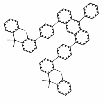 CC1(C)c2ccccc2Sc2c(-c3ccc(-c4cccc5c(-c6ccccc6)c6cccc(-c7ccc(-c8cccc9c8Sc8ccccc8C9(C)C)cc7)c6cc45)cc3)cccc21